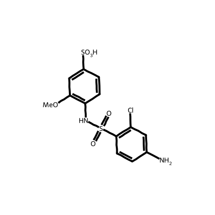 COc1cc(S(=O)(=O)O)ccc1NS(=O)(=O)c1ccc(N)cc1Cl